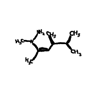 C=C(/C=C(/C)N(C)N)C(C)C